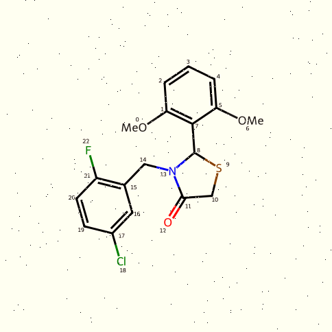 COc1cccc(OC)c1C1SCC(=O)N1Cc1cc(Cl)ccc1F